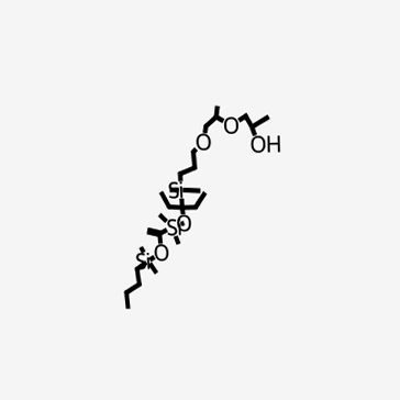 C=C(O[Si](C)(C)CCCC)[Si](C)(C)OC(CC)(CC)[Si](C)(C)CCCOCC(C)OCC(C)O